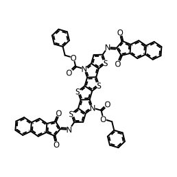 O=C(OCc1ccccc1)n1c2cc(N=c3c(=O)c4cc5ccccc5cc4c3=O)sc2c2sc3c(sc4c5sc(N=c6c(=O)c7cc8ccccc8cc7c6=O)cc5n(C(=O)OCc5ccccc5)c43)c21